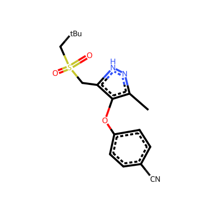 Cc1n[nH]c(CS(=O)(=O)CC(C)(C)C)c1Oc1ccc(C#N)cc1